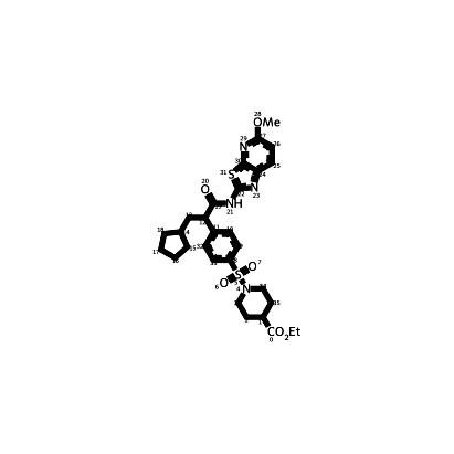 CCOC(=O)C1CCN(S(=O)(=O)c2ccc(C(CC3CCCC3)C(=O)Nc3nc4ccc(OC)nc4s3)cc2)CC1